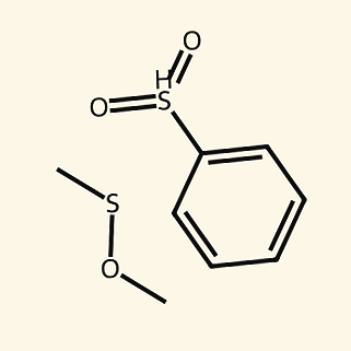 COSC.O=[SH](=O)c1ccccc1